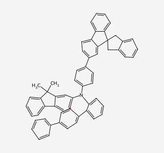 CC1(C)c2ccccc2-c2ccc(N(c3ccc(-c4ccc5c(c4)C4(Cc6ccccc6C4)c4ccccc4-5)cc3)c3ccccc3-c3ccc(-c4ccccc4)cc3)cc21